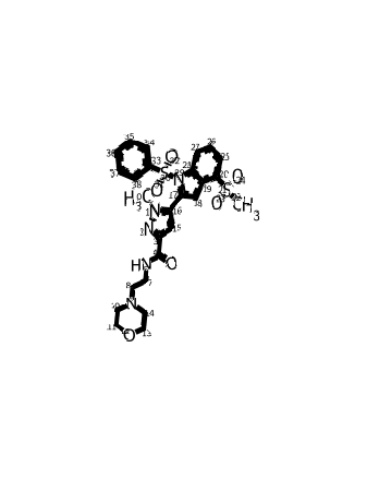 Cn1nc(C(=O)NCCN2CCOCC2)cc1-c1cc2c(S(C)(=O)=O)cccc2n1S(=O)(=O)c1ccccc1